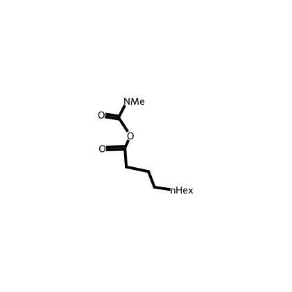 CCCCCCCCCC(=O)OC(=O)NC